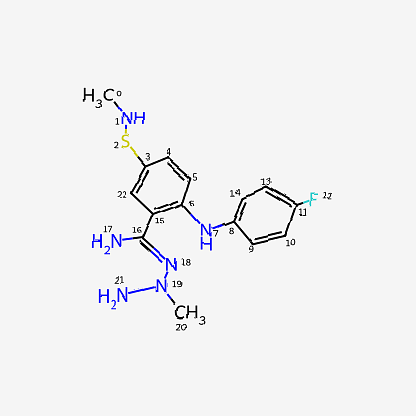 CNSc1ccc(Nc2ccc(F)cc2)c(/C(N)=N/N(C)N)c1